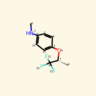 CNc1ccc(O[C@H](C)C(F)(F)F)cc1